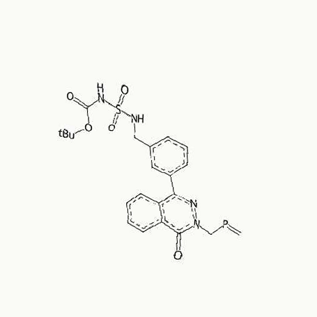 C=PCn1nc(-c2cccc(CNS(=O)(=O)NC(=O)OC(C)(C)C)c2)c2ccccc2c1=O